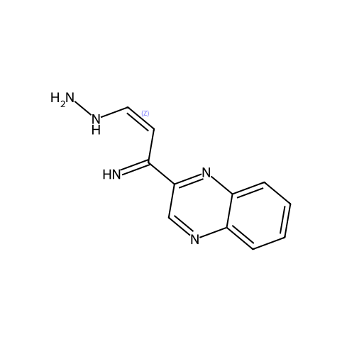 N=C(/C=C\NN)c1cnc2ccccc2n1